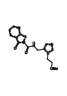 COCCn1cncc1CNC(=O)n1sc2ncccc2c1=O